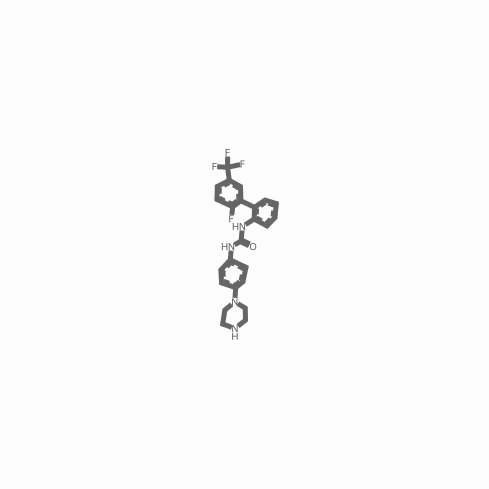 O=C(Nc1ccc(N2CCNCC2)cc1)Nc1ccccc1-c1cc(C(F)(F)F)ccc1F